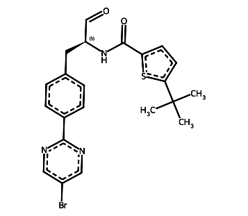 CC(C)(C)c1ccc(C(=O)N[C@H](C=O)Cc2ccc(-c3ncc(Br)cn3)cc2)s1